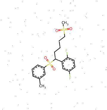 Cc1cccc(S(=O)(=O)C(CCCCS(C)(=O)=O)c2cc(F)ccc2F)c1